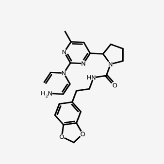 C=CN(/C=C\N)c1nc(C)cc(C2CCCN2C(=O)NCCc2ccc3c(c2)OCO3)n1